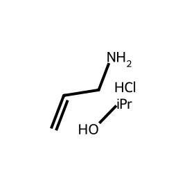 C=CCN.CC(C)O.Cl